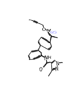 CC#CCO/N=C(/C)c1ccc(-c2ccccc2NC(=O)c2cn(C)nc2C)cc1